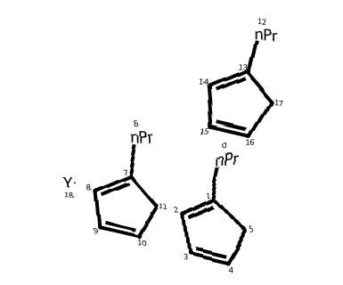 CCCC1=CC=CC1.CCCC1=CC=CC1.CCCC1=CC=CC1.[Y]